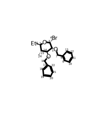 CC[C@H]1O[C@H](Br)[C@H](OCc2ccccc2)[C@@H](OCc2ccccc2)[C@@H]1C